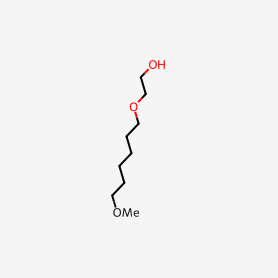 COCCCCCCOCCO